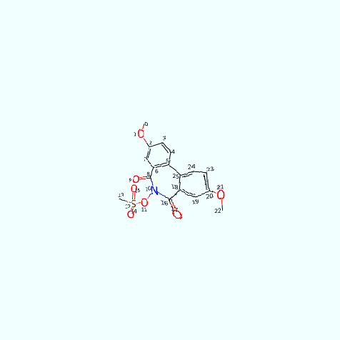 COc1ccc2c(c1)c(=O)n(OS(C)(=O)=O)c(=O)c1cc(OC)ccc12